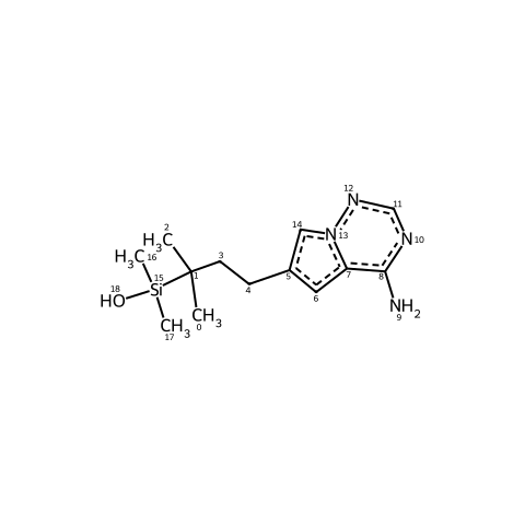 CC(C)(CCc1cc2c(N)ncnn2c1)[Si](C)(C)O